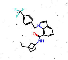 CCC12CCC(NC(=O)c3cccc4ccn(Cc5ccc(C(F)(F)F)cc5)c34)(C1)C2